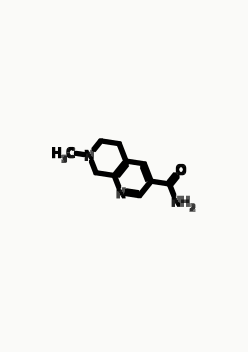 CN1CCc2cc(C(N)=O)cnc2C1